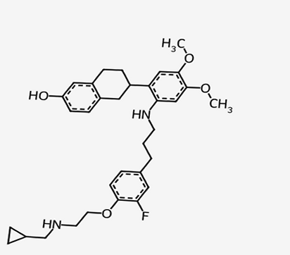 COc1cc(NCCCc2ccc(OCCNCC3CC3)c(F)c2)c(C2CCc3cc(O)ccc3C2)cc1OC